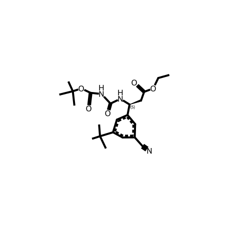 CCOC(=O)C[C@H](NC(=O)NC(=O)OC(C)(C)C)c1cc(C#N)cc(C(C)(C)C)c1